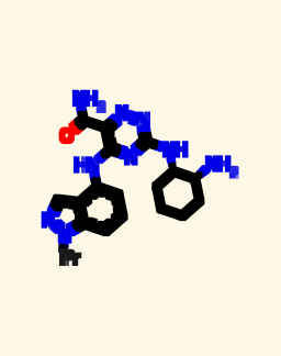 CC(C)n1ncc2c(Nc3nc(N[C@@H]4CCCC[C@@H]4N)nnc3C(N)=O)cccc21